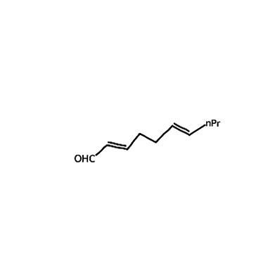 CCCC=CCCC=CC=O